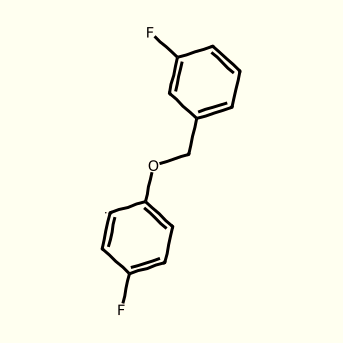 Fc1c[c]c(OCc2cccc(F)c2)cc1